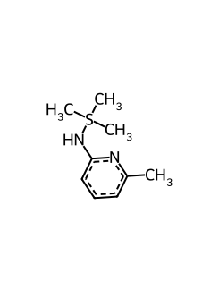 Cc1cccc(NS(C)(C)C)n1